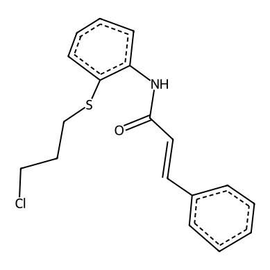 O=C(/C=C/c1ccccc1)Nc1ccccc1SCCCCl